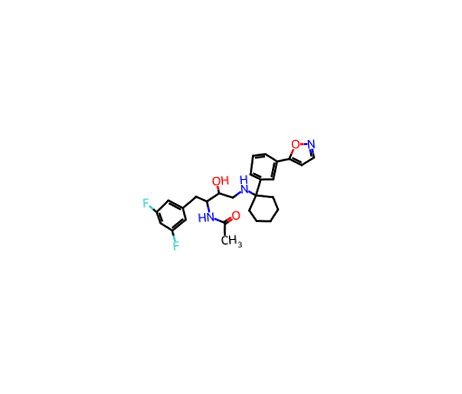 CC(=O)NC(Cc1cc(F)cc(F)c1)C(O)CNC1(c2cccc(-c3ccno3)c2)CCCCC1